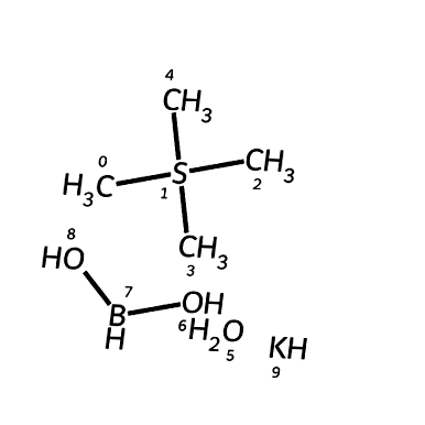 CS(C)(C)C.O.OBO.[KH]